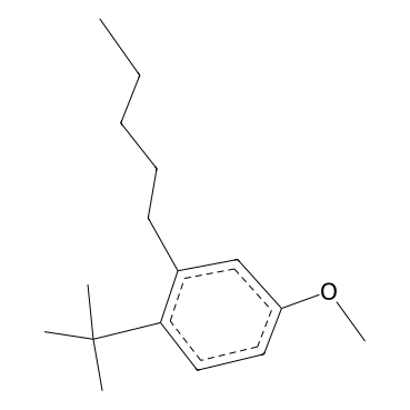 CCCCCc1cc(OC)ccc1C(C)(C)C